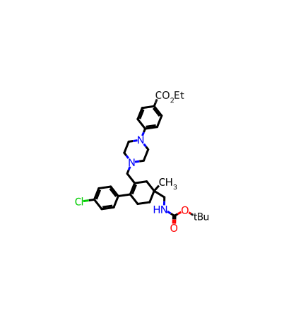 CCOC(=O)c1ccc(N2CCN(CC3=C(c4ccc(Cl)cc4)CCC(C)(CNC(=O)OC(C)(C)C)C3)CC2)cc1